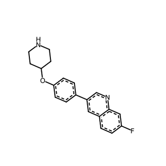 Fc1ccc2cc(-c3ccc(OC4CCNCC4)cc3)cnc2c1